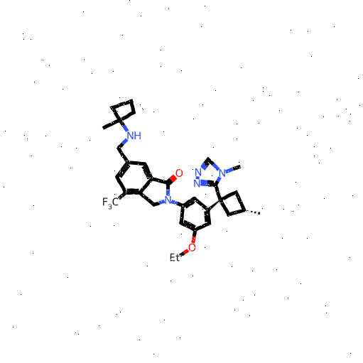 CCOc1cc(N2Cc3c(cc(CNC4(C)CCC4)cc3C(F)(F)F)C2=O)cc([C@]2(c3nncn3C)C[C@@H](C)C2)c1